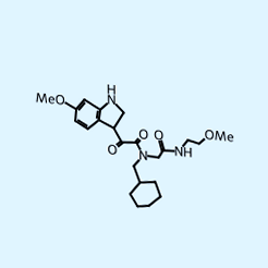 COCCNC(=O)CN(CC1CCCCC1)C(=O)C(=O)C1CNc2cc(OC)ccc21